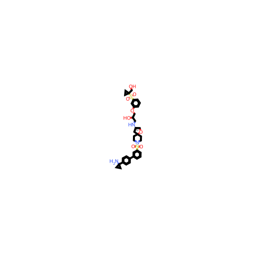 NC1(c2ccc(-c3cccc(S(=O)(=O)N4CCC5(CC4)C[C@H](NCC(O)COc4cccc(S(=O)(=O)C6(CO)CC6)c4)CO5)c3)cc2)CC1